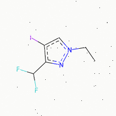 CCn1cc(I)c(C(F)F)n1